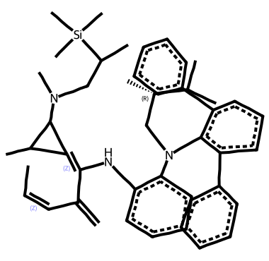 C=C(/C=C\C)/C(Nc1ccccc1N(C[C@H](C)C(C)C)c1c(-c2ccccc2)cccc1-c1ccccc1)=C1\C(C)C1N(C)CC(C)[Si](C)(C)C